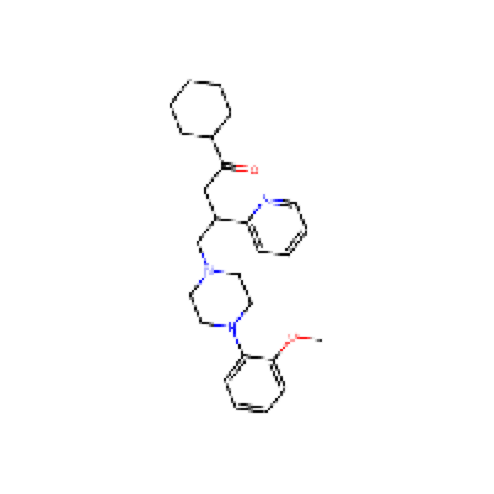 COc1ccccc1N1CCN(CC(CC(=O)C2CCCCC2)c2ccccn2)CC1